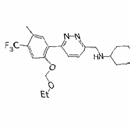 CCOCOc1cc(C(F)(F)F)c(C)cc1-c1ccc(CNC2CCOCC2)nn1